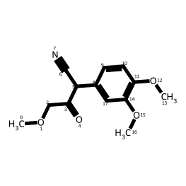 COCC(=O)C(C#N)c1ccc(OC)c(OC)c1